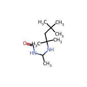 CC(N[C]=O)NC(C)(C)CC(C)(C)C